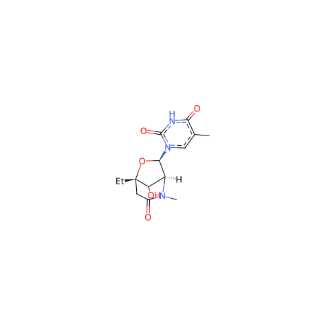 CC[C@]12CC(=O)N(C)[C@@H](C1O)[C@H](n1cc(C)c(=O)[nH]c1=O)O2